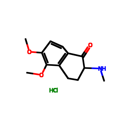 CNC1CCc2c(ccc(OC)c2OC)C1=O.Cl